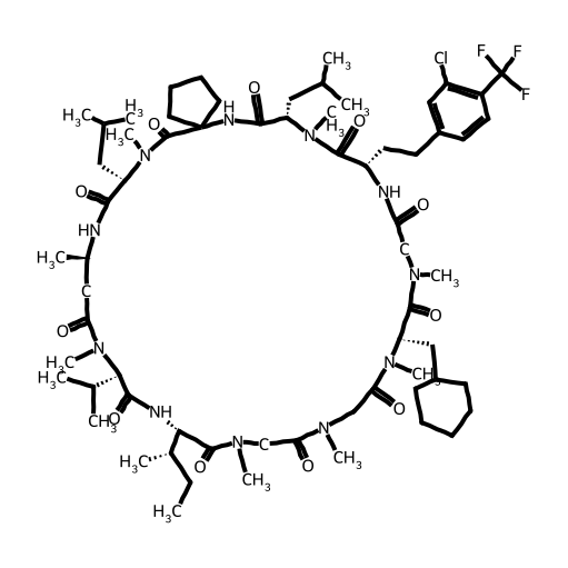 CC[C@H](C)[C@@H]1NC(=O)[C@H](C(C)C)N(C)C(=O)C[C@@H](C)NC(=O)[C@H](CC(C)C)N(C)C(=O)C2(CCCC2)NC(=O)[C@H](CC(C)C)N(C)C(=O)[C@H](CCc2ccc(C(F)(F)F)c(Cl)c2)NC(=O)CN(C)C(=O)[C@H](CC2CCCCC2)N(C)C(=O)CN(C)C(=O)CN(C)C1=O